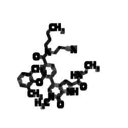 CCCCN(CCC#N)C(=O)c1ccc(-c2cn(C)c(=O)c3[nH]c(C(=O)NCC)cc23)c(Oc2c(C)cccc2C)c1